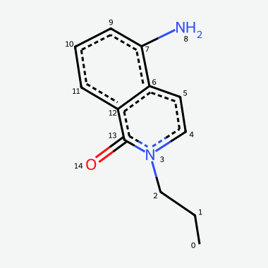 CCCn1ccc2c(N)cccc2c1=O